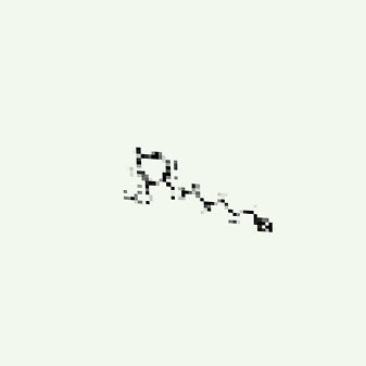 COc1ccccc1OCCCCCBr